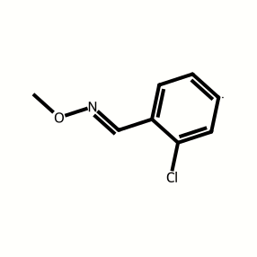 CON=Cc1cc[c]cc1Cl